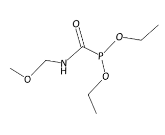 CCOP(OCC)C(=O)NCOC